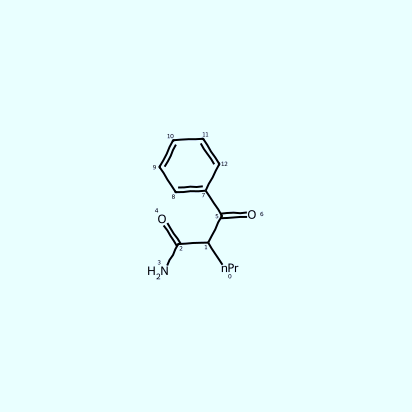 CCCC(C(N)=O)C(=O)c1ccccc1